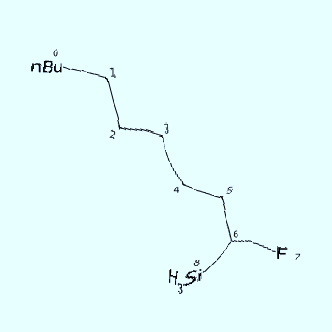 CCCCCCCCCC(F)[SiH3]